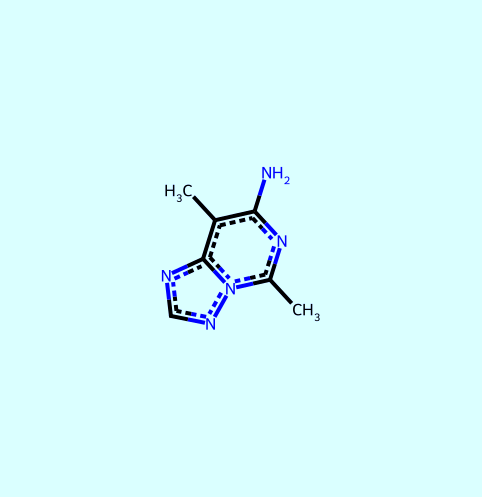 Cc1c(N)nc(C)n2ncnc12